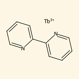 [Tb+3].c1ccc(-c2ccccn2)nc1